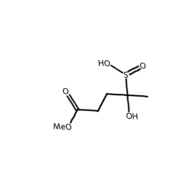 COC(=O)CCC(C)(O)S(=O)O